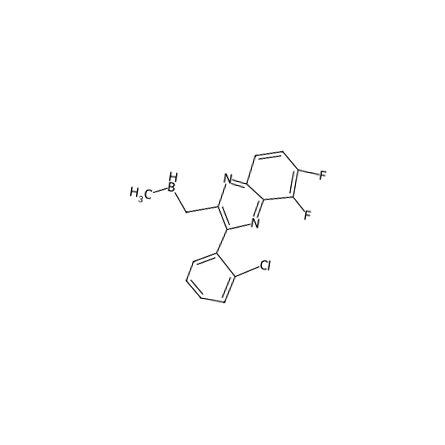 CBCc1nc2ccc(F)c(F)c2nc1-c1ccccc1Cl